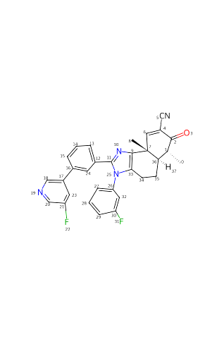 C[C@H]1C(=O)C(C#N)=C[C@@]2(C)c3nc(-c4cccc(-c5cncc(F)c5)c4)n(-c4cccc(F)c4)c3CC[C@H]12